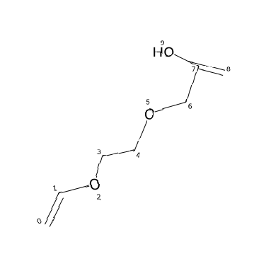 C=COCCOCC(=C)O